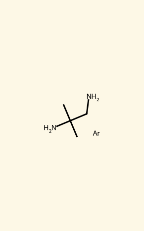 CC(C)(N)CN.[Ar]